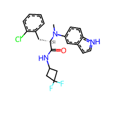 CN(c1ccc2[nH]ccc2c1)[C@@H](Cc1ccccc1Cl)C(=O)NC1CC(F)(F)C1